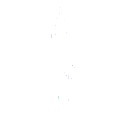 CCCc1ccc(C)cc1N1C(=O)CS/C1=N\C(=O)Nc1ccc(/C=C/c2ncn(-c3ccc(OC(F)(F)F)cc3)n2)cc1